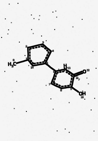 Cc1cccc(-c2ccc(O)c(=O)[nH]2)c1